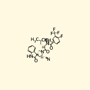 CC(C)C[C@@H](C(=O)N1C[C@]2(C[C@H]1C#N)C(=O)Nc1ccccc12)N(C)C(=O)c1ccc(F)c(C(F)(F)F)c1